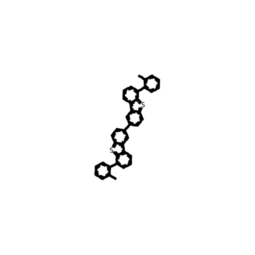 Cc1ccccc1-c1cccc2c1sc1ccc(-c3ccc4sc5c(-c6ccccc6C)cccc5c4c3)cc12